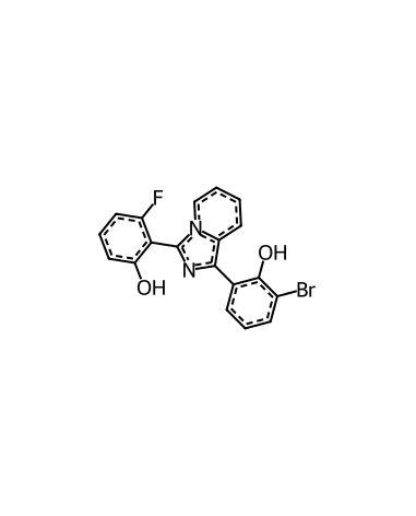 Oc1cccc(F)c1-c1nc(-c2cccc(Br)c2O)c2ccccn12